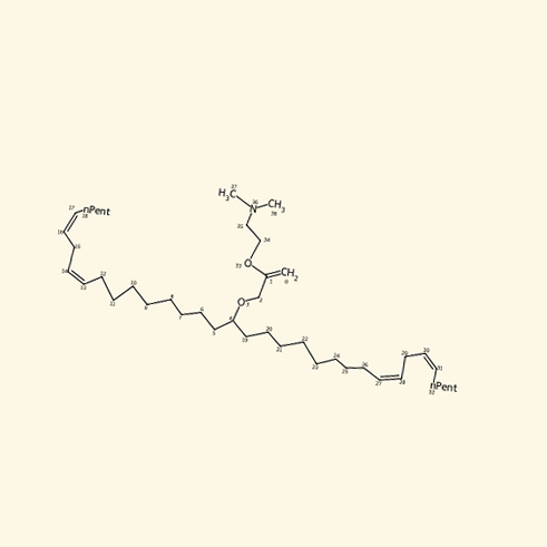 C=C(COC(CCCCCCCC/C=C\C/C=C\CCCCC)CCCCCCCC/C=C\C/C=C\CCCCC)OCCN(C)C